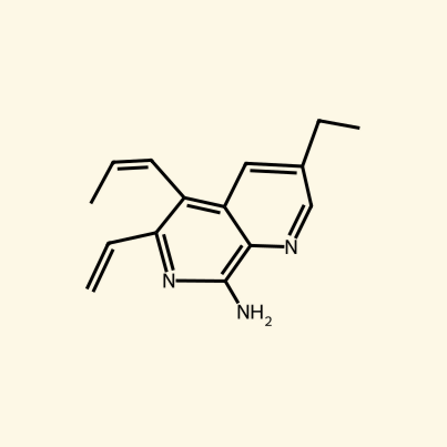 C=Cc1nc(N)c2ncc(CC)cc2c1/C=C\C